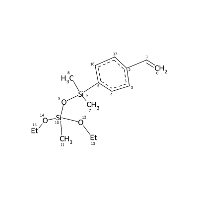 C=Cc1ccc([Si](C)(C)O[Si](C)(OCC)OCC)cc1